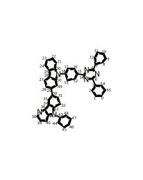 c1ccc(-c2nc(-c3ccccc3)nc(-c3ccc(-n4c5ccccc5c5ccc(-c6ccc7c(c6)c6ncccc6n7-c6ccccc6)cc54)cc3)n2)cc1